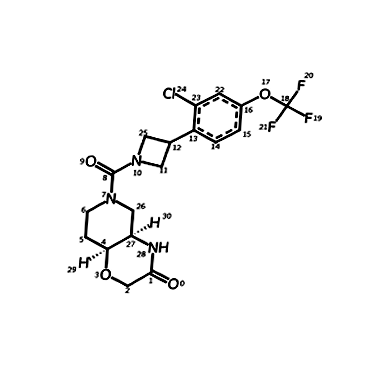 O=C1CO[C@H]2CCN(C(=O)N3CC(c4ccc(OC(F)(F)F)cc4Cl)C3)C[C@H]2N1